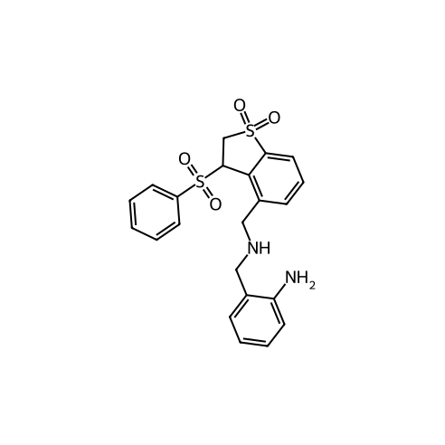 Nc1ccccc1CNCc1cccc2c1C(S(=O)(=O)c1ccccc1)CS2(=O)=O